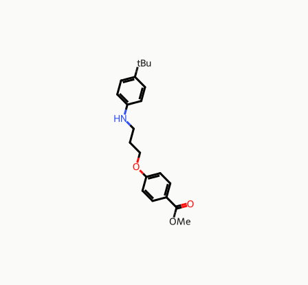 COC(=O)c1ccc(OCCCNc2ccc(C(C)(C)C)cc2)cc1